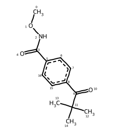 CONC(=O)c1ccc(C(=O)C(C)(C)C)cc1